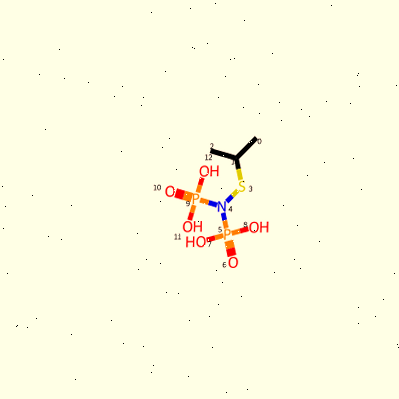 CC(C)SN(P(=O)(O)O)P(=O)(O)O